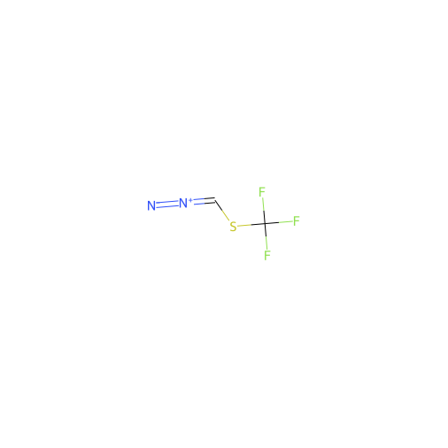 [N-]=[N+]=CSC(F)(F)F